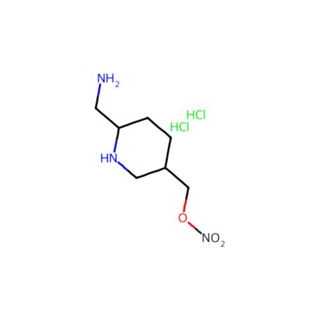 Cl.Cl.NCC1CCC(CO[N+](=O)[O-])CN1